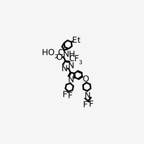 CCC1CC2CC(C1)C(NC(=O)c1cnc(-c3cn(C4CCC(F)(F)CC4)c4cc(O[C@H]5CC[C@H](N6CC(F)(F)C6)CC5)ccc34)nc1C(F)(F)F)(C(=O)O)C2